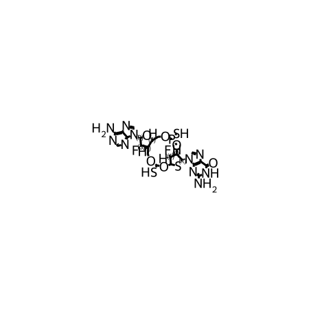 Nc1nc2c(ncn2[C@@H]2SC3OC(S)OC[C@H]4[C@H](F)[C@H](n5cnc6c(N)ncnc65)O[C@@H]4COP(S)O[C@@H]2[C@@H]3F)c(=O)[nH]1